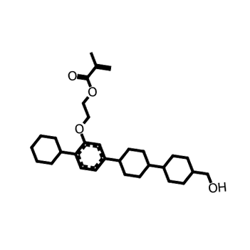 C=C(C)C(=O)OCCOc1cc(C2CCC(C3CCC(CO)CC3)CC2)ccc1C1CCCCC1